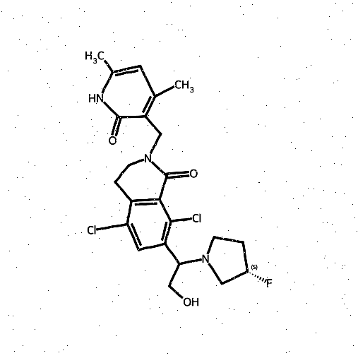 Cc1cc(C)c(CN2CCc3c(Cl)cc(C(CO)N4CC[C@H](F)C4)c(Cl)c3C2=O)c(=O)[nH]1